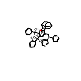 CC(C)(c1ccccc1)c1cc(CP(c2cccnc2)c2cccnc2)c(C23CC4CC(CC(C4)C2CP)C3)cc1C(C)(C)c1ccccc1